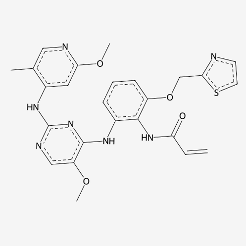 C=CC(=O)Nc1c(Nc2nc(Nc3cc(OC)ncc3C)ncc2OC)cccc1OCc1nccs1